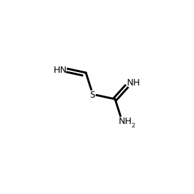 N=CSC(=N)N